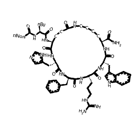 CCCCCCCCCC(=O)N[C@@H](CCCC)C(=O)N[C@H]1CCC(=O)NCCCC[C@@H](C(N)=O)NC(=O)[C@H](Cc2c[nH]c3ccccc23)NC(=O)[C@H](CCCNC(=N)N)NC(=O)[C@@H](Cc2ccccc2)NC(=O)[C@H](Cc2cnc[nH]2)NC1=O